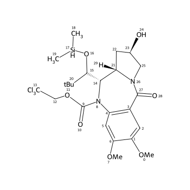 COc1cc2c(cc1OC)N(C(=O)OCC(Cl)(Cl)Cl)[C@H](C(O[SiH](C)C)C(C)(C)C)[C@@H]1C[C@@H](O)CN1C2=O